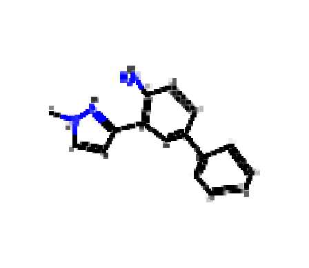 Cn1ccc(-c2cc(-c3ccccc3)ccc2N)n1